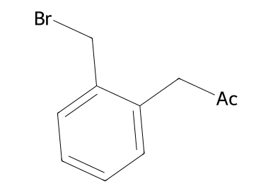 CC(=O)Cc1ccccc1CBr